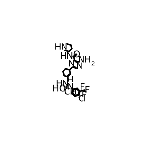 CC(O)(NCC1=CC(c2cnc(N)c(C(=O)NC3CCCNC3)n2)CC=C1)Nc1ccc(Cl)c(C(F)(F)F)c1